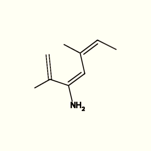 C=C(C)/C(N)=C\C(C)=C/C